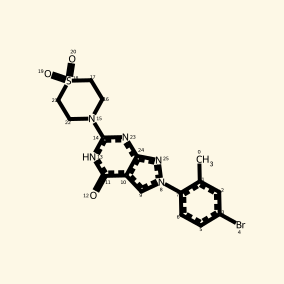 Cc1cc(Br)ccc1-n1cc2c(=O)[nH]c(N3CCS(=O)(=O)CC3)nc2n1